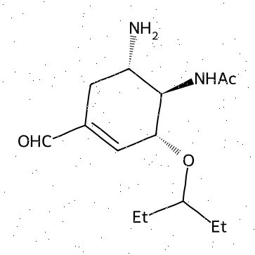 CCC(CC)O[C@@H]1C=C(C=O)C[C@H](N)[C@H]1NC(C)=O